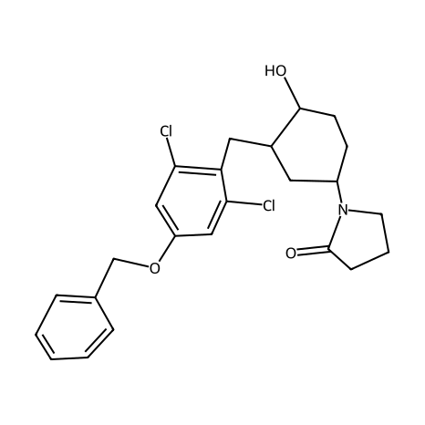 O=C1CCCN1C1CCC(O)C(Cc2c(Cl)cc(OCc3ccccc3)cc2Cl)C1